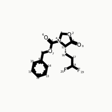 O=C1OCN(C(=O)OCc2ccccc2)[C@H]1CCC(F)F